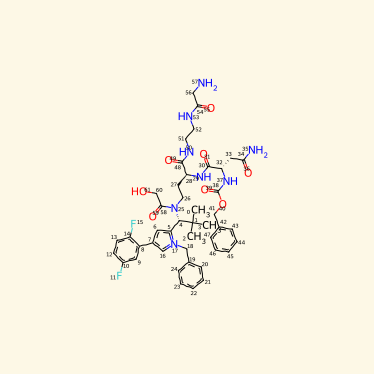 CC(C)(C)[C@H](c1cc(-c2cc(F)ccc2F)cn1Cc1ccccc1)N(CC[C@H](NC(=O)[C@H](CC(N)=O)NC(=O)OCc1ccccc1)C(=O)NCCNC(=O)CN)C(=O)CO